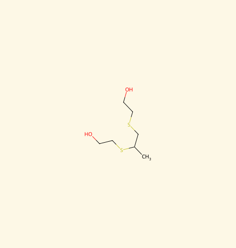 CC(CSCCO)SCCO